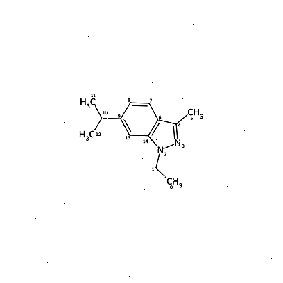 CCn1nc(C)c2ccc(C(C)C)cc21